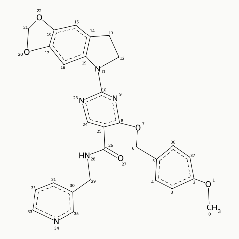 COc1ccc(COc2nc(N3CCc4cc5c(cc43)OCO5)ncc2C(=O)NCc2cccnc2)cc1